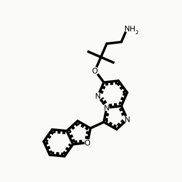 CC(C)(CCN)Oc1ccc2ncc(-c3cc4ccccc4o3)n2n1